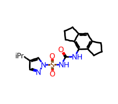 CC(C)c1cnn(S(=O)(=O)NC(=O)Nc2c3c(cc4c2CCC4)CCC3)c1